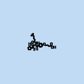 CCN(C(=O)C(NC(=O)CCCN(C)C)Nc1ccc(OCCCC(=O)O)cc1)C1CCCN1